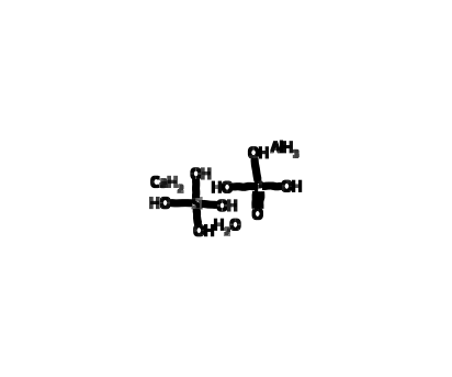 O.O=P(O)(O)O.O[Si](O)(O)O.[AlH3].[CaH2]